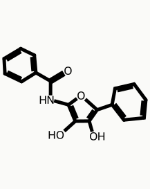 O=C(Nc1oc(-c2ccccc2)c(O)c1O)c1ccccc1